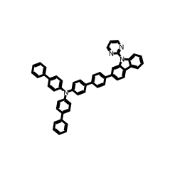 c1ccc(-c2ccc(N(c3ccc(-c4ccccc4)cc3)c3ccc(-c4ccc(-c5ccc6c7ccccc7n(-c7ncccn7)c6c5)cc4)cc3)cc2)cc1